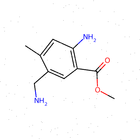 COC(=O)c1cc(CN)c(C)cc1N